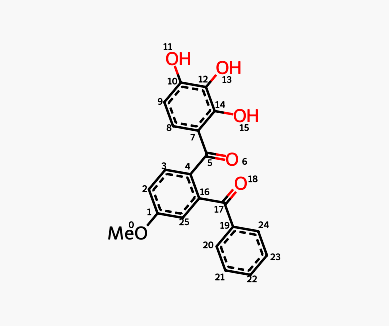 COc1ccc(C(=O)c2ccc(O)c(O)c2O)c(C(=O)c2ccccc2)c1